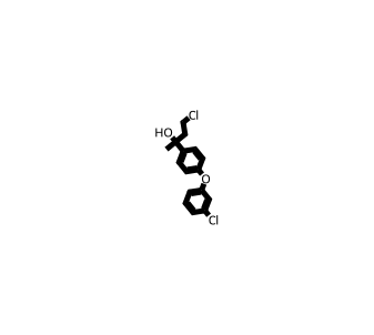 CC(O)(CCCl)c1ccc(Oc2cccc(Cl)c2)cc1